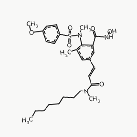 CCCCCCCCN(C)C(=O)/C=C/c1cc(C)c(N(C)S(=O)(=O)c2ccc(OC)cc2)c(C(=O)NO)c1